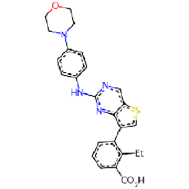 CCc1c(C(=O)O)cccc1-c1csc2cnc(Nc3ccc(N4CCOCC4)cc3)nc12